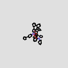 c1ccc(-c2ccc(N(c3ccc4c(c3)-c3ccccc3N(c3ccccc3)c3ccccc3-4)c3ccc4c(c3)C3(c5ccccc5-c5ccccc5-4)c4ccccc4-c4cc5c(cc43)oc3ccccc35)cc2)cc1